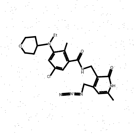 CCN(c1cc(Cl)cc(C(=O)NCc2c(CN=[N+]=[N-])cc(C)[nH]c2=O)c1C)C1CCOCC1